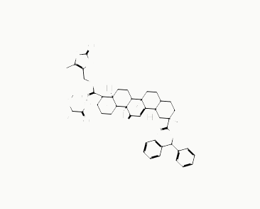 CO[C@H](C)C(=O)O[C@H]1CC[C@@]2(C)[C@@H](CC[C@]3(C)[C@@H]2C(=O)C=C2[C@@H]4C[C@@](C)(C(=O)OC(c5ccccc5)c5ccccc5)CC[C@]4(C)CC[C@]23C)[C@]1(C)C(=O)OCc1oc(=O)oc1C